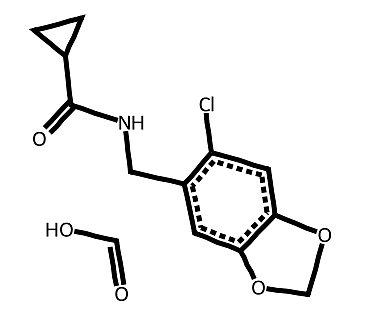 O=C(NCc1cc2c(cc1Cl)OCO2)C1CC1.O=CO